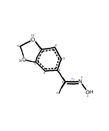 C/C(=N\O)c1ccc2c(c1)OCO2